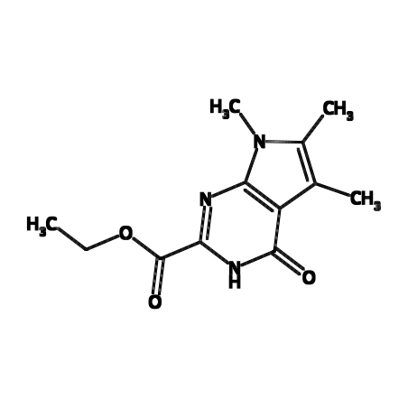 CCOC(=O)c1nc2c(c(C)c(C)n2C)c(=O)[nH]1